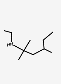 CCNC(C)(C)CC(C)CC